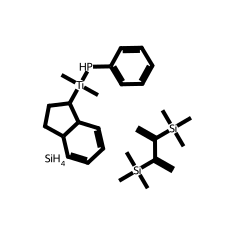 C=C(C(=C)[Si](C)(C)C)[Si](C)(C)C.[CH3][Ti]([CH3])([PH]c1ccccc1)[CH]1CCC2C=CC=CC21.[SiH4]